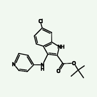 CC(C)(C)OC(=O)c1[nH]c2cc(Cl)ccc2c1Nc1ccncc1